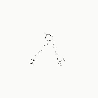 CC(C)(CCCCCCc1cc(O)ccc1CCCCCCC1(C(=O)O)CC1)C(=O)O